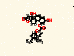 CC[C@H](Oc1ccc(C)c(C)c1)C(=O)OC1CC(O)C=C2C=CC(C)C(CC[C@@H]3C[C@@H](O)CC(=O)O3)C21